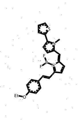 CCOc1ccc(/C=C/C2=[N+](B(F)F)C(=C\c3ccc(-c4cccs4)n3C)/C=C2)cc1